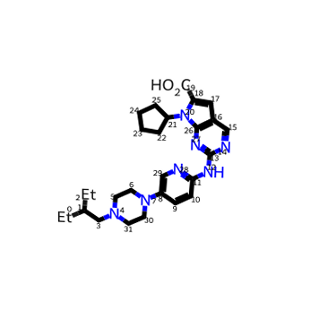 CCC(CC)CN1CCN(c2ccc(Nc3ncc4cc(C(=O)O)n(C5CCCC5)c4n3)nc2)CC1